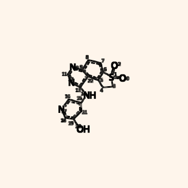 O=S1(=O)CCc2c1ccc1ncnc(Nc3cncc(O)c3)c21